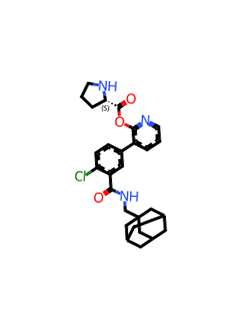 O=C(NCC12CC3CC(CC(C3)C1)C2)c1cc(-c2cccnc2OC(=O)[C@@H]2CCCN2)ccc1Cl